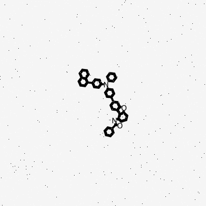 c1ccc(-c2nc3c(ccc4oc5cc(-c6ccc(N(c7ccccc7)c7ccc(-c8cccc9ccccc89)cc7)cc6)ccc5c43)o2)cc1